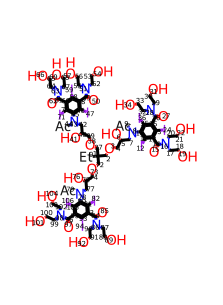 CCC(COCC(O)CN(C(C)=O)c1c(I)c(C(=O)N(CCO)CCO)c(I)c(C(=O)N(CCO)CCO)c1I)(COCC(O)CN(C(C)=O)c1c(I)c(C(=O)N(CCO)CCO)c(I)c(C(=O)N(CCO)CCO)c1I)COCC(O)CN(C(C)=O)c1c(I)c(C(=O)N(CCO)CCO)c(I)c(C(=O)N(CCO)CCO)c1I